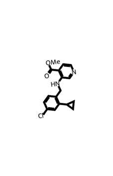 COC(=O)c1ccncc1NCc1ccc(Cl)cc1C1CC1